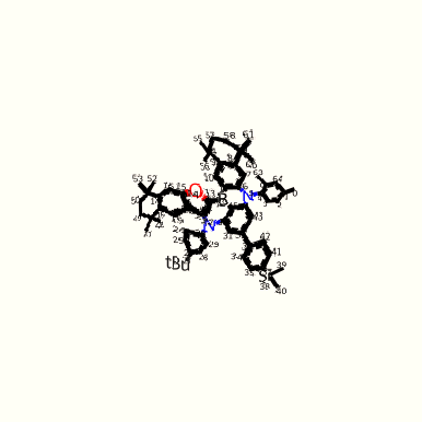 Cc1ccc(N2c3cc4c(cc3B3c5oc6cc7c(cc6c5N(c5ccc(C(C)(C)C)cc5)c5cc(-c6ccc([Si](C)(C)C)cc6)cc2c53)C(C)(C)CCC7(C)C)C(C)(C)CCC4(C)C)c(C)c1